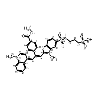 COC(=O)c1ccc(C(=C\c2sc3ccc(S(=O)(=O)NCCCS(=O)(=O)O)cc3[n+]2C)/C=C2\C=CN(C)c3ccccc32)cc1